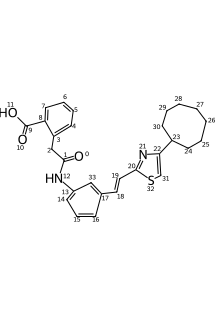 O=C(Cc1ccccc1C(=O)O)Nc1cccc(/C=C/c2nc(C3CCCCCCC3)cs2)c1